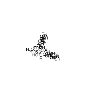 CC(=O)N[C@H]1C(O)O[C@H](CO)[C@H](O)[C@@H]1O.O=S(=O)(O)O.O=S(=O)(O)O.O=S(=O)(O)O.O=S(=O)(O)O.O=S(=O)(O)O.O=S(=O)(O)O